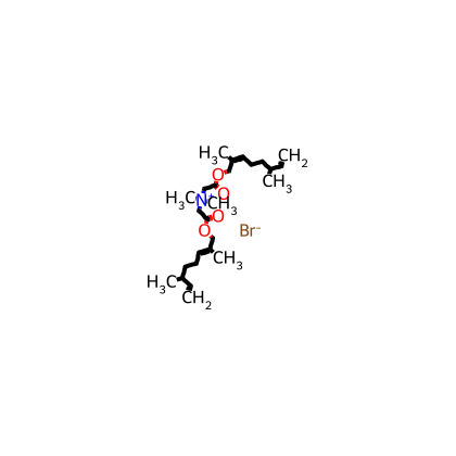 C=CC(C)CCC=C(C)COC(=O)C[N+](C)(C)CC(=O)OCC(C)=CCCC(C)C=C.[Br-]